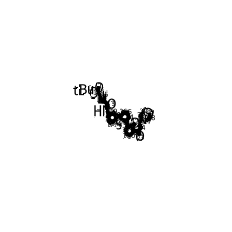 CC(C)(C)OC(=O)N1CC(C(=O)Nc2ccc3sc4c(-c5cccc6c(=O)cc(N7CCOCC7)oc56)cccc4c3c2)C1